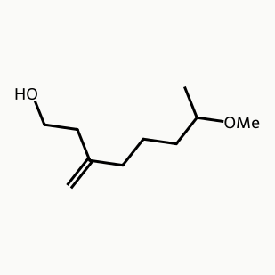 C=C(CCO)CCCC(C)OC